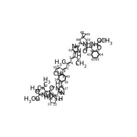 C=C\C(=C/C=C(C)/C=C(\C=C/C)c1ccc(-c2cnc([C@@H]3[C@H]4CC[C@H](C4)N3C(=O)[C@@H](NC(=O)OC)C(C)C)[nH]2)cc1)c1cnc([C@@H]2CC3(CC3)CN2C(=O)C(NC(=O)OC)c2ccccc2)[nH]1